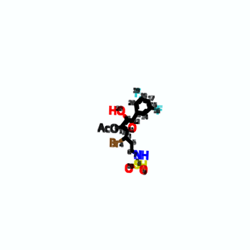 CC(=O)Oc1c(C(Br)CCN[SH](=O)=O)oc(-c2cc(F)cc(F)c2)c1O